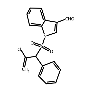 C=C(Cl)C(c1ccccc1)S(=O)(=O)n1cc(C=O)c2ccccc21